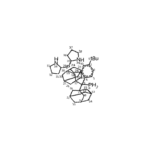 CC(C)(C)c1ccc(C(P)(C23CC4CC(CC(C4)C2)C3)C23CC4CC(CC(C4)C2)C3)c(CP(C2CCCN2)C2CCCN2)c1